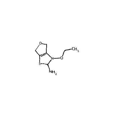 CCON1C2=C(COC2)SC1N